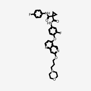 O=C(Nc1ccc(F)cc1)C1(C(=O)Nc2ccc(Oc3ccnc4cc(OCCCN5CCOCC5)ncc34)c(F)c2)CC1